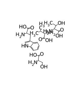 CC(C)C(N)C(=O)O.CC(O)C(N)C(=O)O.NC(CO)C(=O)O.NC(Cc1c[nH]c2ccccc12)C(=O)O